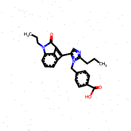 CCCc1ncc(C2=C3C(=O)N(CCC)c4cccc2c43)n1Cc1ccc(C(=O)O)cc1